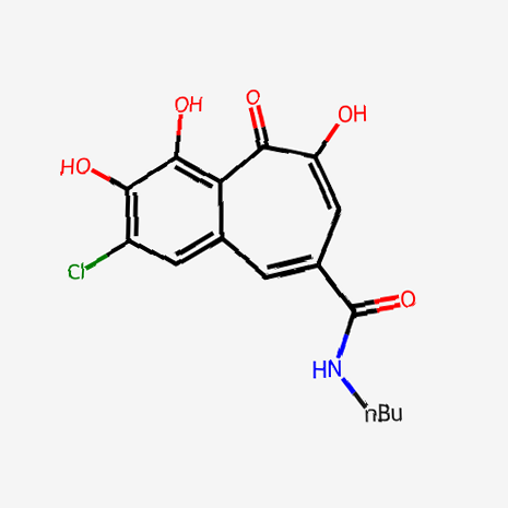 CCCCNC(=O)c1cc(O)c(=O)c2c(O)c(O)c(Cl)cc2c1